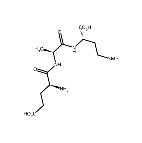 CSCC[C@H](NC(=O)[C@H](C)NC(=O)[C@@H](N)CCC(=O)O)C(=O)O